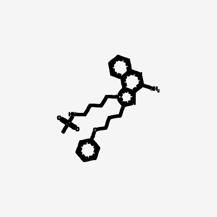 CS(=O)(=O)NCCCCn1c(CCCOc2ccccc2)nc2c(N)nc3ccccc3c21